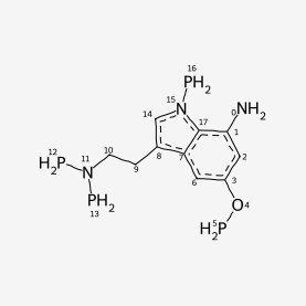 Nc1cc(OP)cc2c(CCN(P)P)cn(P)c12